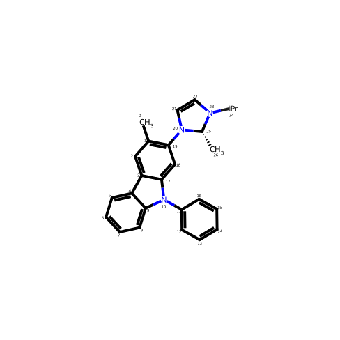 Cc1cc2c3ccccc3n(-c3ccccc3)c2cc1N1C=CN(C(C)C)[C@@H]1C